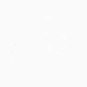 CC(C)C(=O)OC1C(CO)OC(n2cc3c(N)cc4c(=O)[nH]ncc(n2)c34)C1(C)OC(=O)C(C)C